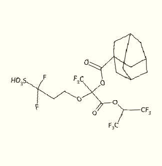 O=C(OC(OCCC(F)(F)S(=O)(=O)O)(C(=O)OC(C(F)(F)F)C(F)(F)F)C(F)(F)F)C12CC3CC(CC(C3)C1)C2